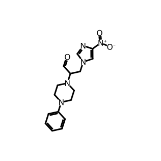 O=CC(Cn1cnc([N+](=O)[O-])c1)N1CCN(c2ccccc2)CC1